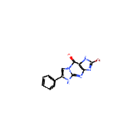 O=c1c2[nH]c(Br)nc2nc2[nH]c(-c3ccccc3)cn12